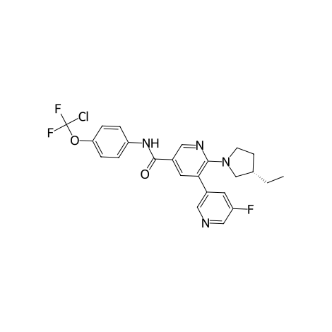 CC[C@H]1CCN(c2ncc(C(=O)Nc3ccc(OC(F)(F)Cl)cc3)cc2-c2cncc(F)c2)C1